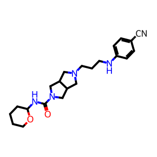 N#Cc1ccc(NCCCN2CC3CN(C(=O)NC4CCCCO4)CC3C2)cc1